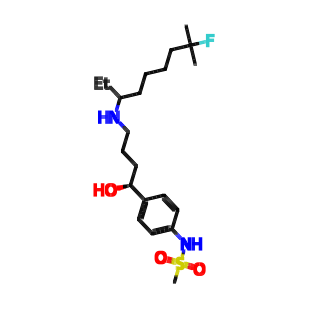 CCC(CCCCC(C)(C)F)NCCC[C@H](O)c1ccc(NS(C)(=O)=O)cc1